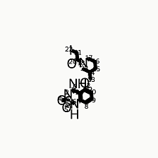 NC1=NS(=O)(=O)Nc2cccc(OCC3CCCN(C(=O)CI)C3)c21